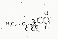 CCCCOC(=O)CN(C)S(=O)(=O)c1ccc2c(Cl)cnc(Cl)c2c1